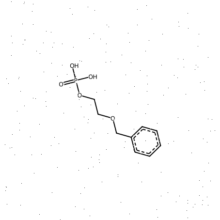 O=P(O)(O)OCCOCc1ccccc1